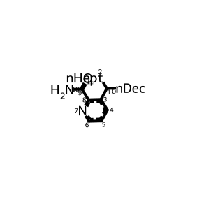 CCCCCCCCCCC(CCCCCCC)c1cccnc1C(N)=O